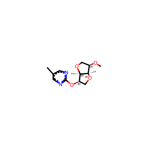 CO[C@@H]1CO[C@]2(C)[C@H](Oc3ncc(C)cn3)CO[C@]12C